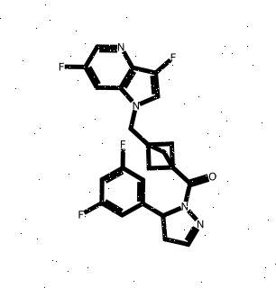 O=C(N1N=CCC1c1cc(F)cc(F)c1)C12CC(Cn3cc(F)c4ncc(F)cc43)(C1)C2